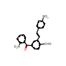 O=[C]c1ccc(C(=O)c2ccccc2[N+](=O)[O-])cc1/C=C/c1ccc([N+](=O)[O-])cc1